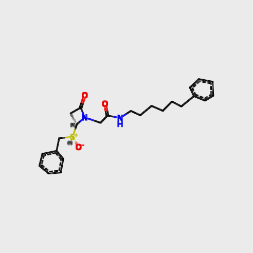 O=C(CN1C(=O)C[C@H]1[S@+]([O-])Cc1ccccc1)NCCCCCCc1ccccc1